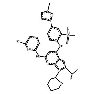 Cc1cnc(-c2ccc(Nc3cc(Nc4cccc(C#N)n4)nc4c3nc(C(F)F)n4C3CCCCO3)c(S(C)(=O)=O)c2)s1